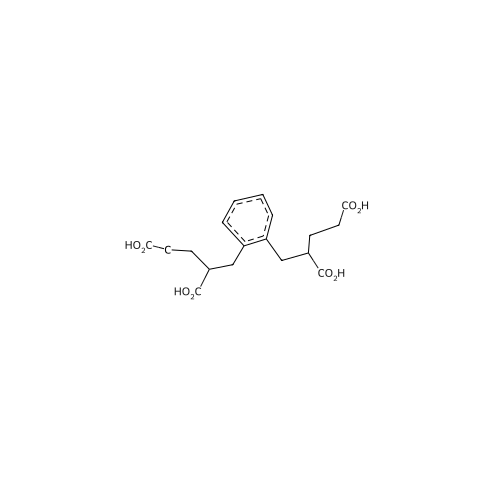 O=C(O)CCC(Cc1ccccc1CC(CCC(=O)O)C(=O)O)C(=O)O